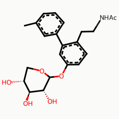 CC(=O)NCCc1ccc(OC2OC[C@@H](O)[C@H](O)[C@H]2O)cc1-c1cccc(C)c1